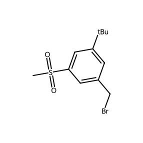 CC(C)(C)c1cc(CBr)cc(S(C)(=O)=O)c1